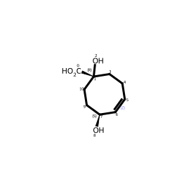 O=C(O)[C@@]1(O)CC/C=C\[C@@H](O)CC1